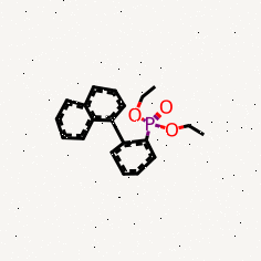 CCOP(=O)(OCC)c1ccccc1-c1cccc2ccccc12